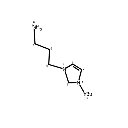 CCCCN1C=CN(CCCN)C1